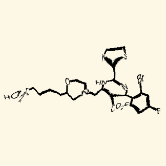 CCOC(=O)C1=C(CN2CCOC(CCCCC(=O)O)C2)NC(c2nccs2)=NC1c1ccc(F)cc1Br